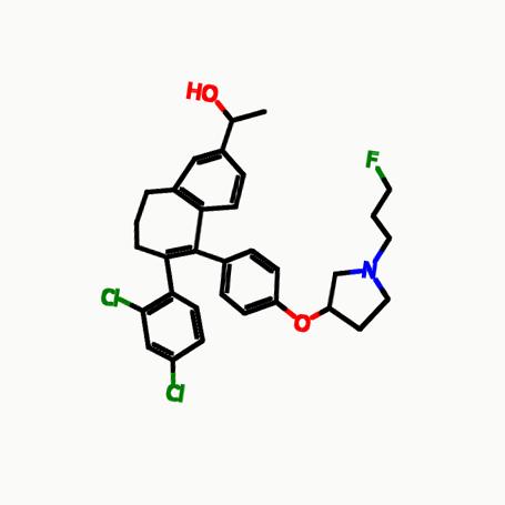 CC(O)c1ccc2c(c1)CCCC(c1ccc(Cl)cc1Cl)=C2c1ccc(OC2CCN(CCCF)C2)cc1